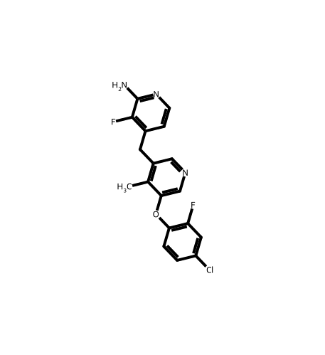 Cc1c(Cc2ccnc(N)c2F)cncc1Oc1ccc(Cl)cc1F